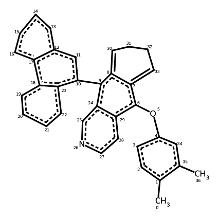 Cc1ccc(Oc2c3c(c(-c4cc5ccccc5c5ccccc45)c4cnccc24)=CCCC=3)cc1C